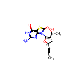 CC#C[C@@H]1C[C@@H]([C@@H](C)O)[C@H](n2c(=O)sc3c(=O)[nH]c(N)nc32)O1